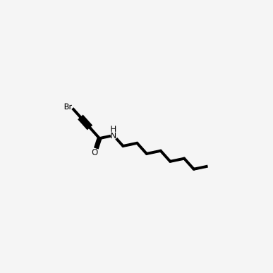 CCCCCCCCNC(=O)C#CBr